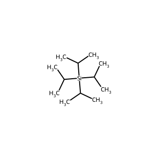 CC(C)[Si](C(C)C)(C(C)C)C(C)C